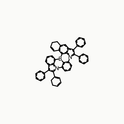 C1=CCCC(c2c(-c3ccccc3)c3cccc4c3n2-c2cccc3c2B4c2c4c(cc5c(-c6ccccc6)c(-c6ccccc6)n-3c25)CCC=C4)=C1